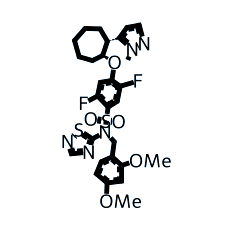 COc1ccc(CN(c2ncns2)S(=O)(=O)c2cc(F)c(O[C@H]3CCCCC[C@@H]3c3ccnn3C)cc2F)c(OC)c1